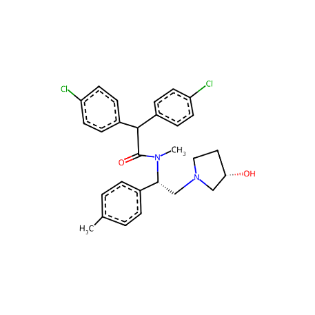 Cc1ccc([C@@H](CN2CC[C@H](O)C2)N(C)C(=O)C(c2ccc(Cl)cc2)c2ccc(Cl)cc2)cc1